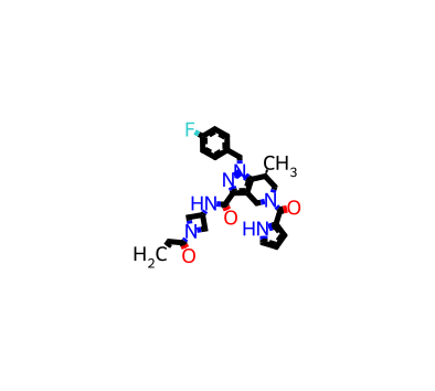 C=CC(=O)N1CC(NC(=O)c2nn(Cc3ccc(F)cc3)c3c2CN(C(=O)c2ccc[nH]2)C[C@H]3C)C1